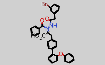 O=C(Cc1cccc(Br)c1)NN(C(=O)c1ccccc1)[C@@H](Cc1ccc(-c2ccccc2Oc2ccccc2)cc1)C(=O)O